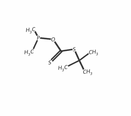 CP(C)OC(=S)SC(C)(C)C